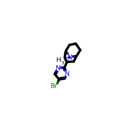 CN1C2CCCC1CC(c1ncc(Br)cn1)C2